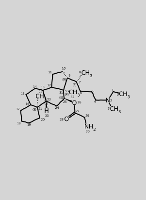 CCN(C)CCC[C@@H](C)[C@H]1CCC2C3CCC4CCCC[C@]4(C)[C@H]3C[C@H](OC(=O)CN)[C@@]21C